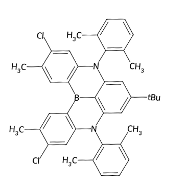 Cc1cc2c(cc1Cl)N(c1c(C)cccc1C)c1cc(C(C)(C)C)cc3c1B2c1cc(C)c(Cl)cc1N3c1c(C)cccc1C